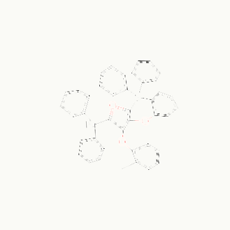 Cc1ccccc1Oc1c([SiH](c2ccccc2)c2ccccc2)oc2c1Oc1ccccc1[Si]2(c1ccccc1)c1ccccc1